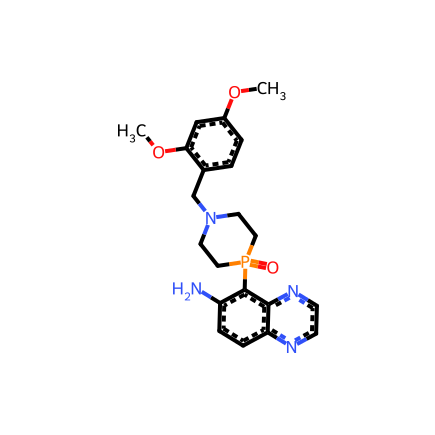 COc1ccc(CN2CCP(=O)(c3c(N)ccc4nccnc34)CC2)c(OC)c1